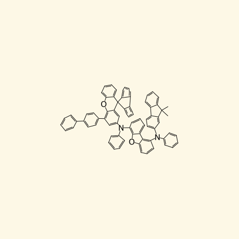 CC1(C)c2ccccc2-c2ccc(N(c3ccccc3)c3cccc4oc5c(N(c6ccccc6)c6cc(-c7ccc(-c8ccccc8)cc7)c7c(c6)C6(c8ccccc8O7)c7ccccc7-c7ccccc76)cccc5c34)cc21